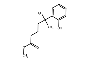 COC(=O)CCCC(C)(C)c1ccccc1O